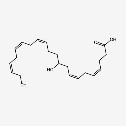 CC/C=C\C/C=C\C/C=C\CCC(O)C/C=C\C/C=C\CCC(=O)O